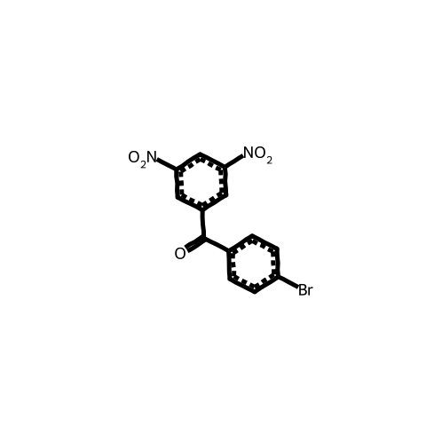 O=C(c1ccc(Br)cc1)c1cc([N+](=O)[O-])cc([N+](=O)[O-])c1